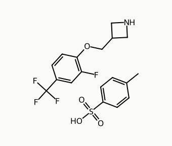 Cc1ccc(S(=O)(=O)O)cc1.Fc1cc(C(F)(F)F)ccc1OCC1CNC1